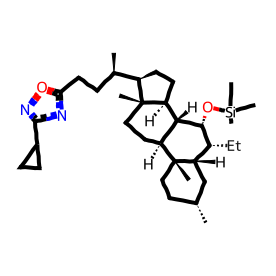 CC[C@H]1[C@@H](O[Si](C)(C)C)[C@@H]2[C@H](CC[C@]3(C)[C@@H]([C@H](C)CCc4nc(C5CC5)no4)CC[C@@H]23)[C@@]2(C)CC[C@@H](C)C[C@@H]12